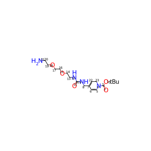 CC(C)(C)OC(=O)N1C=CC(CNC(=O)NCCOCCOCCN)=CC1